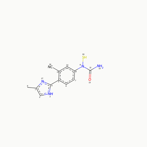 Cc1c[nH]c(-c2ccc(N(S)C(N)=O)cc2C#N)n1